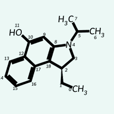 CC[C@@H]1CN(C(C)C)c2cc(O)c3ccccc3c21